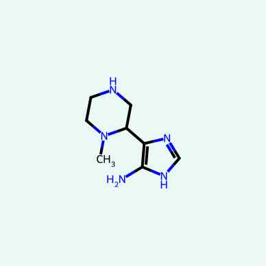 CN1CCNCC1c1nc[nH]c1N